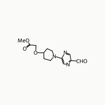 COC(=O)COC1CCN(c2cnc(C=O)cn2)CC1